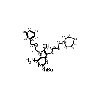 CCCCc1nc(N)c2c(n1)c(CCCCN1CCCCCC1)c(C)n2COCc1ccccc1